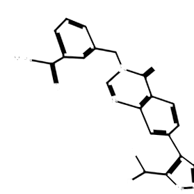 CNC(=O)c1cccc(Cn2cnc3cc(-c4cn[nH]c4C(F)F)ccc3c2=O)c1